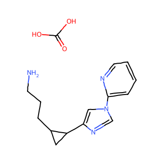 NCCCC1CC1c1cn(-c2ccccn2)cn1.O=C(O)O